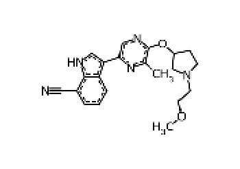 COCCN1CCC(Oc2ncc(-c3c[nH]c4c(C#N)cccc34)nc2C)C1